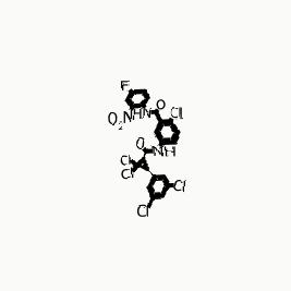 O=C(Nc1ccc(F)cc1[N+](=O)[O-])c1cc(NC(=O)[C@H]2[C@H](c3cc(Cl)cc(Cl)c3)C2(Cl)Cl)ccc1Cl